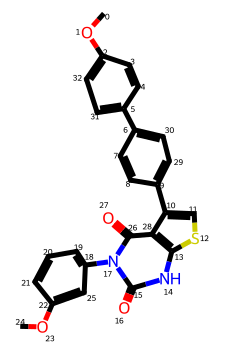 COc1ccc(-c2ccc(-c3csc4[nH]c(=O)n(-c5cccc(OC)c5)c(=O)c34)cc2)cc1